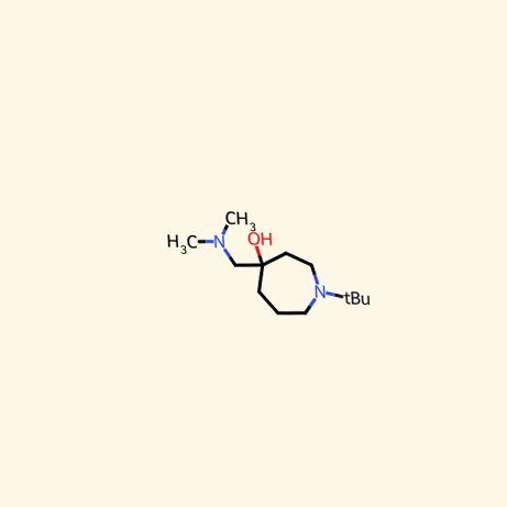 CN(C)CC1(O)CCCN(C(C)(C)C)CC1